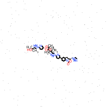 CC(C)(O)c1cn(-c2ccc(B3OC(C)(C)C(C)(OC(C)(C)c4cn(-c5ccc(-c6ccc7c(c6)CC6[C@H](Cn8ccnn8)OC(=O)N76)cn5)nn4)O3)cn2)nn1